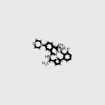 CNCc1c(F)cccc1-c1ccc(C(C)Nc2nnc(C)c3ccc(N4CCOCC4)cc23)s1